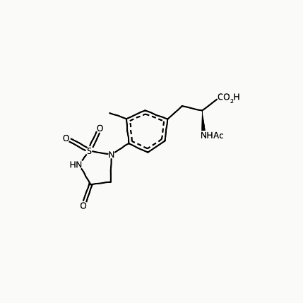 CC(=O)N[C@@H](Cc1ccc(N2CC(=O)NS2(=O)=O)c(C)c1)C(=O)O